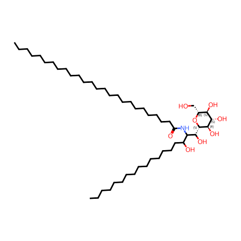 CCCCCCCCCCCCCCCCCCCCCCCCCC(=O)NC(C(O)CCCCCCCCCCCCCCC)C(O)[C@@H]1O[C@H](CO)[C@@H](O)[C@H](O)[C@H]1O